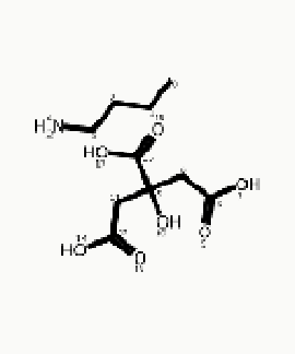 CCCCN.O=C(O)CC(O)(CC(=O)O)C(=O)O